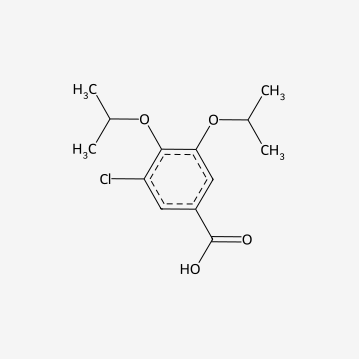 CC(C)Oc1cc(C(=O)O)cc(Cl)c1OC(C)C